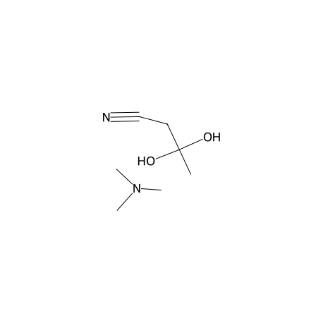 CC(O)(O)CC#N.CN(C)C